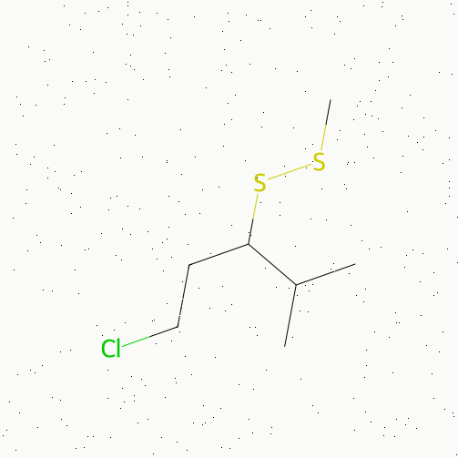 CSSC(CCCl)C(C)C